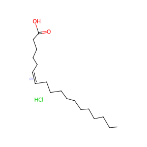 CCCCCCCCCCC/C=C\CCCCC(=O)O.Cl